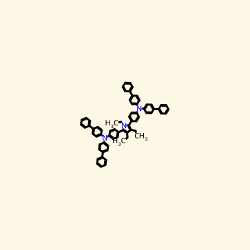 CCc1c(CC)c(-c2ccc(N(c3ccc(-c4ccccc4)cc3)c3ccc(-c4ccccc4)cc3)cc2)n(CC)c1-c1ccc(N(c2ccc(-c3ccccc3)cc2)c2ccc(-c3ccccc3)cc2)cc1